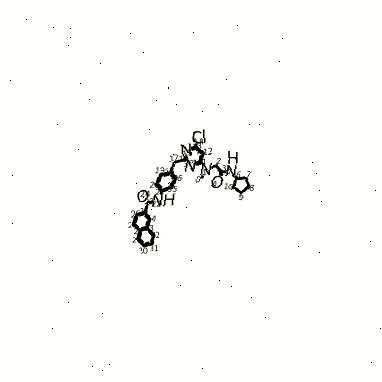 CN(CC(=O)NC1CCCC1)c1[c]c(Cl)nc(Cc2ccc(NC(=O)c3ccc4ccccc4c3)cc2)n1